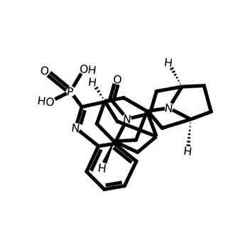 O=c1c(P(=O)(O)O)nc2ccccc2n1C1C[C@H]2CC[C@@H](C1)N2C12C[C@@H]3CC1C[C@@H](C3)C2